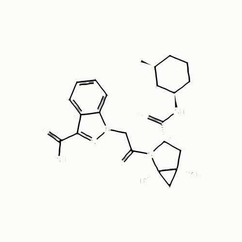 NC(=O)c1nn(CC(=O)N2[C@@H]3C[C@@H]3C[C@H]2C(=O)N[C@@H]2CCC[C@H](C(F)(F)F)C2)c2ccccc12